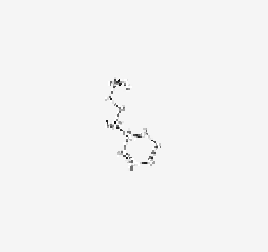 NCCNc1cc[c]cc1